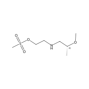 CO[C@H](C)CNCCOS(C)(=O)=O